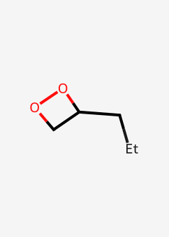 CCCC1COO1